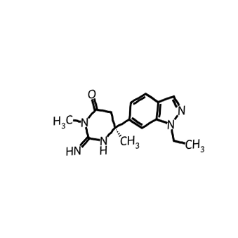 CCn1ncc2ccc([C@]3(C)CC(=O)N(C)C(=N)N3)cc21